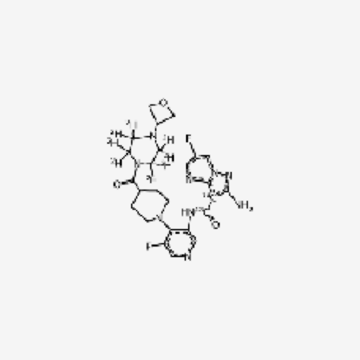 [2H]C1([2H])N(C(=O)C2CCN(c3c(F)cncc3N[13C](=O)[13c]3c(N)nn4cc(F)cnc34)CC2)C([2H])([2H])C([2H])([2H])N(C2COC2)C1([2H])[2H]